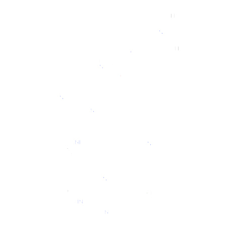 CN(C)C/C=C/C(=O)Nc1cnc(CN[C@H]2CCC[C@@H](Nc3ncc(Cl)c(-c4c[nH]c5ccccc45)n3)C2)nc1